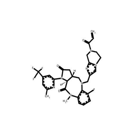 C=CC(=O)N1CCn2cc(CN3C[C@H]4CC(=O)N(c5cc(C(F)(F)F)cc(C)n5)[C@@H]4C(=O)N(C)c4cccc(F)c43)nc2C1